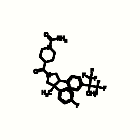 C[C@]1(c2ccc(F)cc2)CN(C(=O)C2CCN(C(N)=O)CC2)C[C@H]1c1ccc(C(O)(C(F)(F)F)C(F)(F)F)cc1